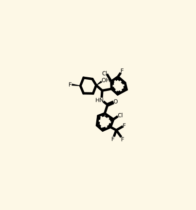 O=C(NC(c1cccc(F)c1Cl)[C@]1(O)CC[C@@H](F)CC1)c1cccc(C(F)(F)F)c1Cl